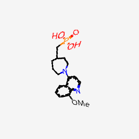 COc1cccc2c(N3CCCC(CP(=O)(O)O)CC3)ccnc12